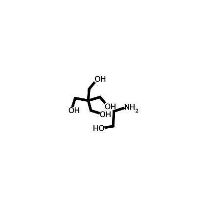 NCCO.OCC(CO)(CO)CO